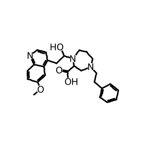 COc1ccc2nccc(CC(O)N3CCCN(CCc4ccccc4)CC3C(=O)O)c2c1